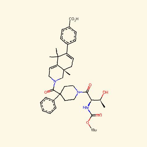 C[C@H](O)[C@@H](NC(=O)OC(C)(C)C)C(=O)N1CCC(C(=O)N2CC=C3C(C)(C)C(c4ccc(C(=O)O)cc4)=CC[C@]3(C)C2)(c2ccccc2)CC1